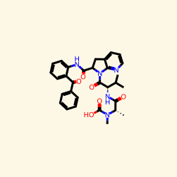 CC(C)[C@H](NC(=O)[C@H](C)N(C)C(=O)O)C(=O)N1c2ncccc2CC1C(=O)Nc1ccccc1C(=O)c1ccccc1